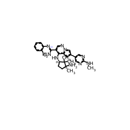 CNc1ncc(-c2cc3c(N[C@@H]4CC[C@](C)(N)C4(C)C)c(/C(N)=N/c4ccccc4Cl)cnn3c2)cn1